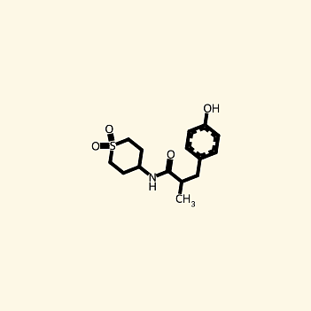 CC(Cc1ccc(O)cc1)C(=O)NC1CCS(=O)(=O)CC1